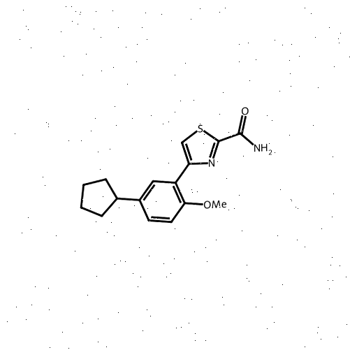 COc1ccc(C2CCCC2)cc1-c1csc(C(N)=O)n1